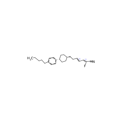 CCCCCc1ccc([C@H]2CC[C@H](CC/C=C/C=C(\F)C#N)CC2)cc1